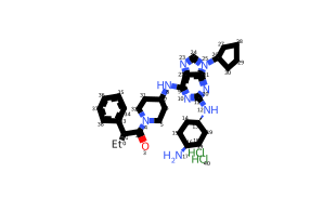 CCC(C(=O)N1CCC(Nc2nc(N[C@H]3CC[C@H](N)CC3)nc3c2ncn3C2CCCC2)CC1)c1ccccc1.Cl.Cl